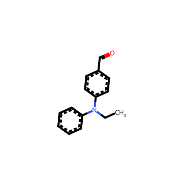 CCN(c1ccccc1)c1ccc(C=O)cc1